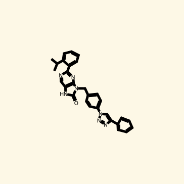 CC(C)c1ccccc1-c1ncc2[nH]c(=O)n(Cc3ccc(-n4cc(-c5ccccc5)nn4)cc3)c2n1